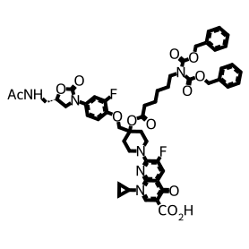 CC(=O)NC[C@H]1CN(c2ccc(OCC3(OC(=O)CCCCCN(C(=O)OCc4ccccc4)C(=O)OCc4ccccc4)CCN(c4nc5c(cc4F)c(=O)c(C(=O)O)cn5C4CC4)CC3)c(F)c2)C(=O)O1